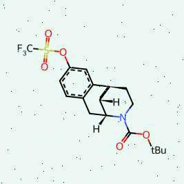 CC(C)(C)OC(=O)N1CC[C@]23CCCC[C@H]2[C@H]1Cc1ccc(OS(=O)(=O)C(F)(F)F)cc13